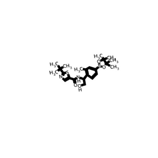 Cc1cc(B2OC(C)(C)C(C)(C)O2)ccc1C(CO)NC(=O)c1cnc(C(C)(C)C)s1